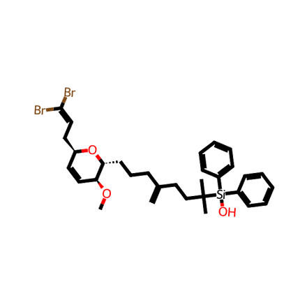 C=C(CCC[C@H]1O[C@H](CC=C(Br)Br)C=C[C@@H]1OC)CCC(C)(C)[Si](O)(c1ccccc1)c1ccccc1